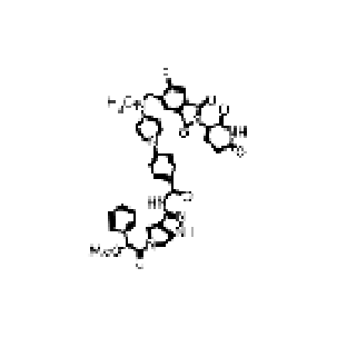 CO[C@@H](C(=O)N1Cc2[nH]nc(NC(=O)c3ccc(N4CCC(N(C)Cc5cc6c(cc5F)C(=O)N(C5CCC(=O)NC5=O)C6=O)CC4)cc3)c2C1)c1ccccc1